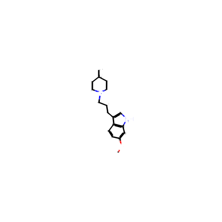 COc1ccc2c([CH]CCN3CCC(C)CC3)c[nH]c2c1